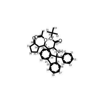 CC(=O)OC(CC(NC1(c2ccccc2)c2ccccc2-c2ccccc21)C(=O)OC(C)(C)C)C1CCCC1=O